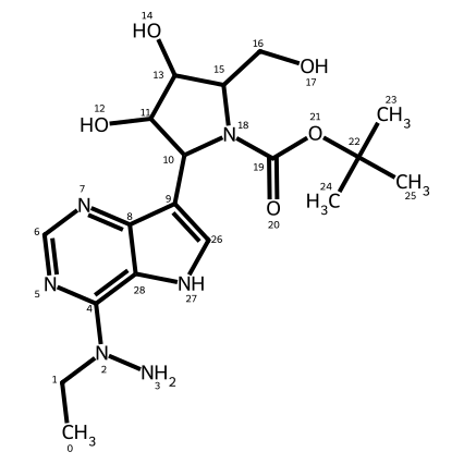 CCN(N)c1ncnc2c(C3C(O)C(O)C(CO)N3C(=O)OC(C)(C)C)c[nH]c12